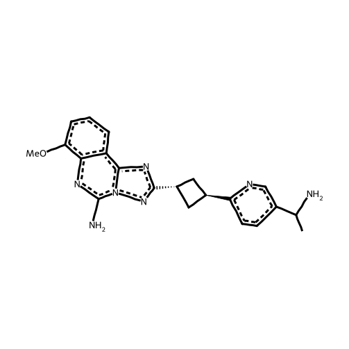 COc1cccc2c1nc(N)n1nc([C@H]3C[C@H](c4ccc(C(C)N)cn4)C3)nc21